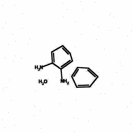 Nc1ccccc1N.O.c1ccccc1